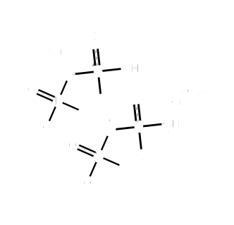 O=P([O-])([O-])OP(=O)([O-])O.O=P([O-])([O-])OP(=O)([O-])O.[Cu+2].[Cu+2].[Cu+2]